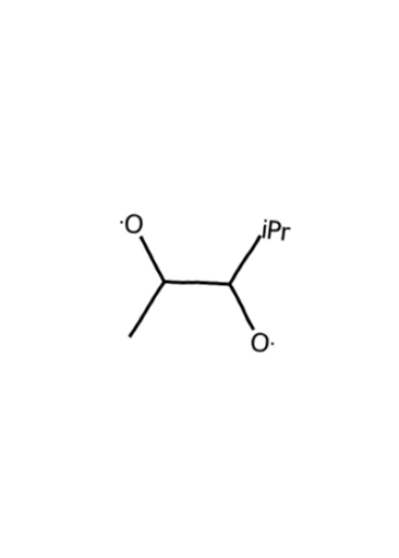 CC(C)C([O])C(C)[O]